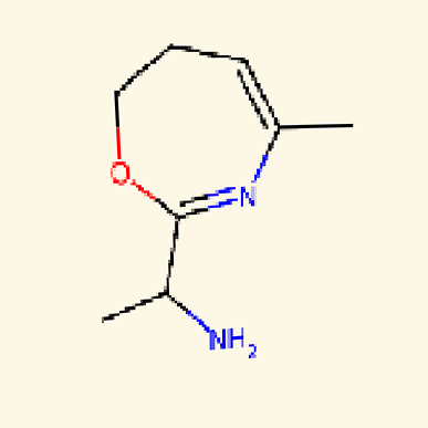 CC1=CCCOC(C(C)N)=N1